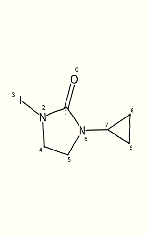 O=C1N(I)CCN1C1CC1